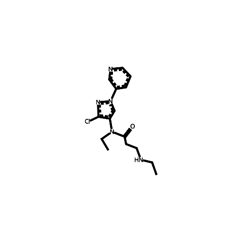 CCNCCC(=O)N(CC)c1cn(-c2cccnc2)nc1Cl